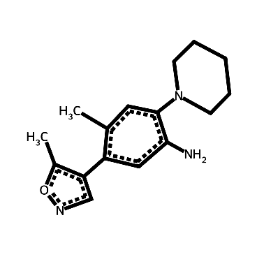 Cc1cc(N2CCCCC2)c(N)cc1-c1cnoc1C